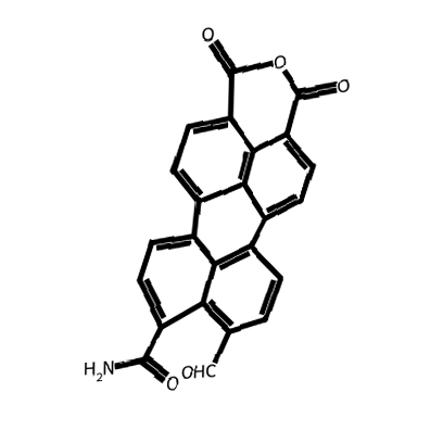 NC(=O)c1ccc2c3ccc4c5c(ccc(c6ccc(C=O)c1c62)c53)C(=O)OC4=O